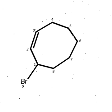 BrC1/C=C\CCCCC1